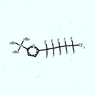 CCC[CH2][Sn]([CH2]CCC)([CH2]CCC)[c]1ccc(C(F)(F)C(F)(F)C(F)(F)C(F)(F)C(F)(F)C(F)(F)F)s1